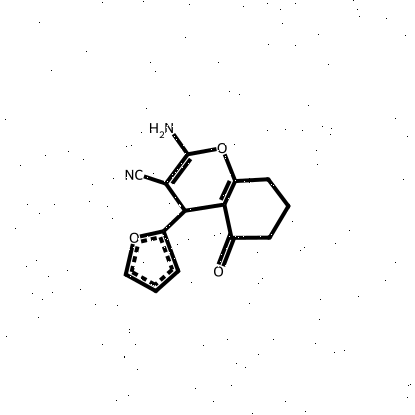 N#CC1=C(N)OC2=C(C(=O)CCC2)C1c1ccco1